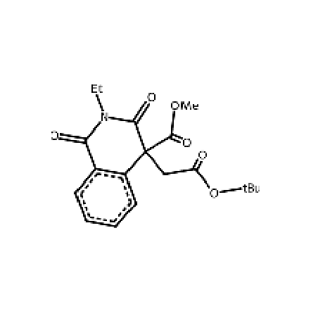 CCN1C(=O)c2ccccc2C(CC(=O)OC(C)(C)C)(C(=O)OC)C1=O